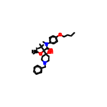 CCCCOc1ccc(N(C)C(=O)C(O[SiH](C)C)(C(C)(C)C)C2(O)CCN(Cc3ccccc3)CC2)cc1